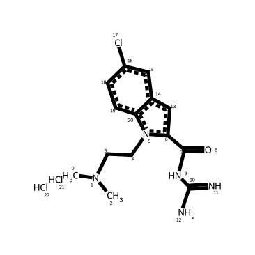 CN(C)CCn1c(C(=O)NC(=N)N)cc2cc(Cl)ccc21.Cl.Cl